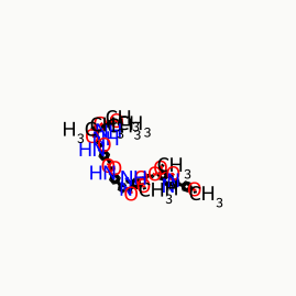 CCOC(C)(C)CCC(=O)NC(C(=O)NCC(=O)Nc1ccc(COC(=O)Nc2ccc(C3=CN(C(=O)c4cc(OC)c(OCCCOc5cc6c(cc5OC)C(=O)N5C=C(c7ccc(OC)cc7)C[C@@H]5N=C6)cc4C=N)CC3)cc2)cc1)C(C)C